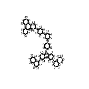 C1=Cc2cccc(-c3ccc4c(c3)c3cc(-c5cccc6ccccc56)ccc3n4-c3ccc(-c4cccc(-c5ccc(-c6cnc7c8ccccc8c8ccccc8c7n6)cc5)c4)cc3)c2CC1